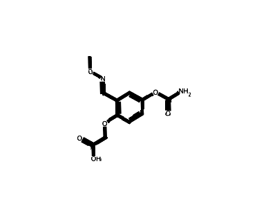 CO/N=C/c1cc(OC(N)=O)ccc1OCC(=O)O